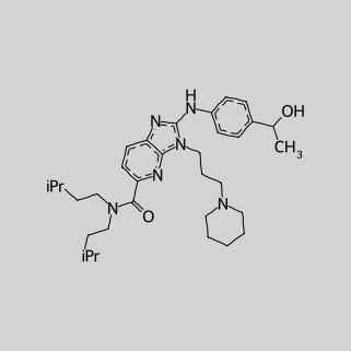 CC(C)CCN(CCC(C)C)C(=O)c1ccc2nc(Nc3ccc(C(C)O)cc3)n(CCCN3CCCCC3)c2n1